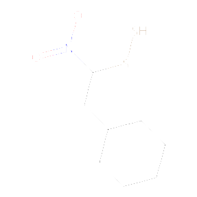 O=[N+]([O-])C(CC1CCCCC1)SS